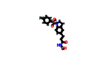 O=C(C=Cc1ccc2c(c1)CCN2S(=O)(=O)c1ccc(F)cc1)NO